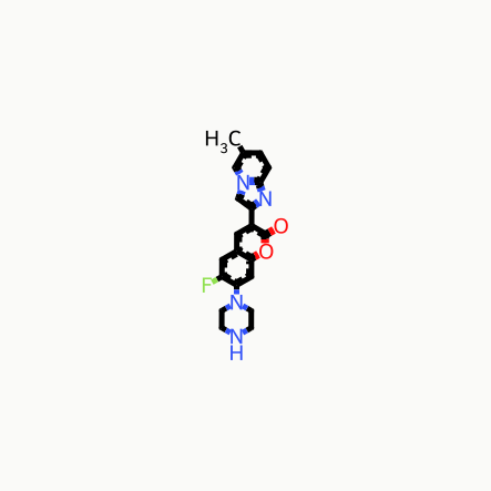 Cc1ccc2nc(-c3cc4cc(F)c(N5CCNCC5)cc4oc3=O)cn2c1